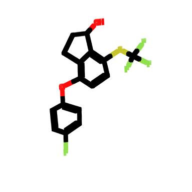 OC1CCc2c(Oc3ccc(F)cc3)ccc(SC(F)(F)F)c21